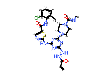 C=CC(=O)NNc1nc(Nc2ncc(C(=O)Nc3c(C)cccc3Cl)s2)nc(N2CCN(C(=O)NC)CC2)n1